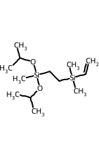 C=C[Si](C)(C)CC[Si](C)(OC(C)C)OC(C)C